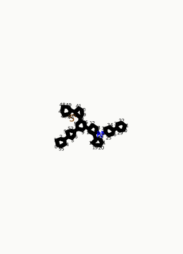 c1ccc(-c2ccc(-c3cc(-c4ccc5c(c4)c4ccccc4n5-c4ccc(-c5ccccc5)cc4)cc(-c4cccc5c4sc4ccccc45)c3)cc2)cc1